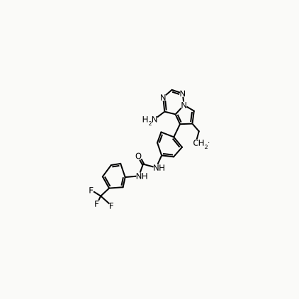 [CH2]Cc1cn2ncnc(N)c2c1-c1ccc(NC(=O)Nc2cccc(C(F)(F)F)c2)cc1